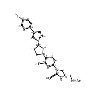 CC(=O)NC[C@H]1CN(c2ccc(N3CC[C@@H](n4cc(-c5ccc(F)cc5)cn4)C3)c(F)c2)C(=O)O1